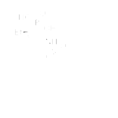 CC[C@H](CNS(=O)(=O)c1ccc(-c2cccc(C)c2)cc1)P(=O)(O)O